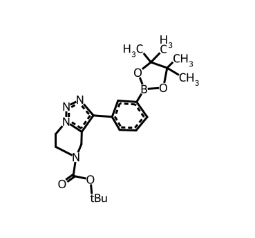 CC(C)(C)OC(=O)N1CCn2nnc(-c3cccc(B4OC(C)(C)C(C)(C)O4)c3)c2C1